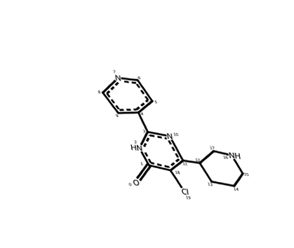 O=c1[nH]c(-c2ccncc2)nc(C2CCCNC2)c1Cl